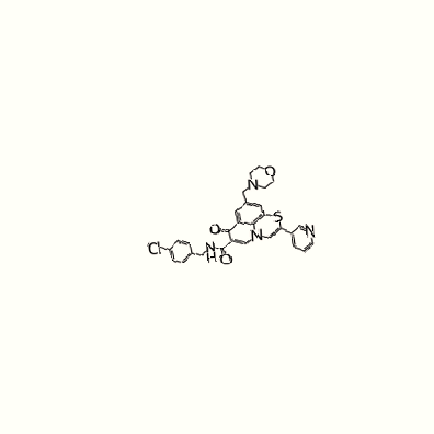 O=C(NCc1ccc(Cl)cc1)c1cn2c3c(cc(CN4CCOCC4)cc3c1=O)SC(c1cccnc1)=C2